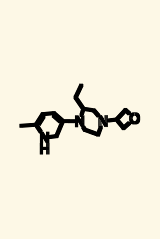 CCC1CN(C2COC2)CCN1C1=CC=C(C)NC1